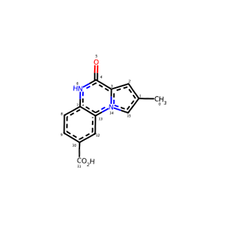 Cc1cc2c(=O)[nH]c3ccc(C(=O)O)cc3n2c1